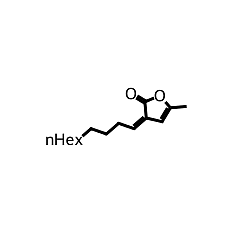 CCCCCCCCCC=C1C=C(C)OC1=O